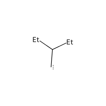 [C]C(CC)CC